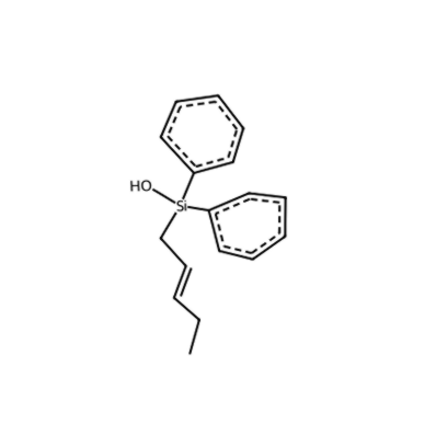 CCC=CC[Si](O)(c1ccccc1)c1ccccc1